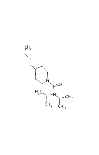 CCCCC1CCN(C(=O)N(C(C)C)C(C)C)CC1